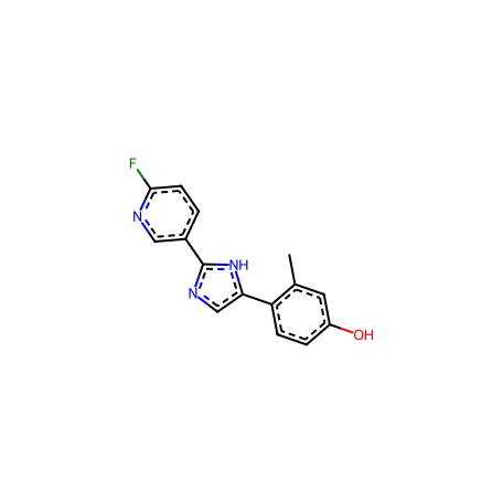 Cc1cc(O)ccc1-c1cnc(-c2ccc(F)nc2)[nH]1